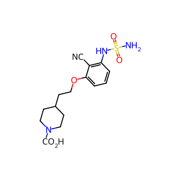 N#Cc1c(NS(N)(=O)=O)cccc1OCCC1CCN(C(=O)O)CC1